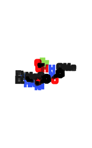 CCN(CC)CCCNc1nnc(-c2ccc(NC(=O)c3cccc(OC)c3)cc2OC)o1.O=C(O)C(F)(F)F